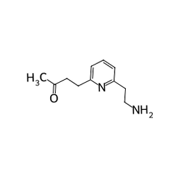 CC(=O)CCc1cccc(CCN)n1